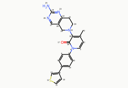 Cc1ccn(-c2ccc(-c3ccsc3)cc2)c(=O)c1N1CCc2nc(N)ncc2C1